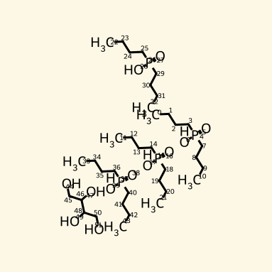 CCCCP(=O)(O)CCCC.CCCCP(=O)(O)CCCC.CCCCP(=O)(O)CCCC.CCCCP(=O)(O)CCCC.OCC(O)C(O)CO